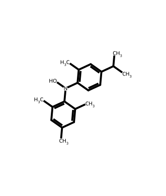 Cc1cc(C)c(N(O)c2ccc(C(C)C)cc2C)c(C)c1